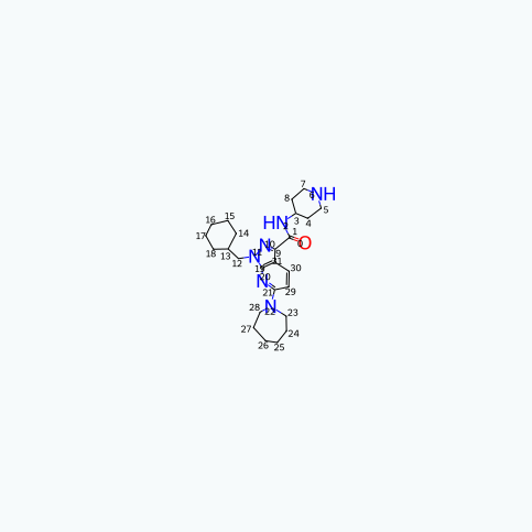 O=C(NC1CCNCC1)c1nn(CC2CCCCC2)c2nc(N3CCCCCC3)ccc12